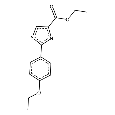 CCOC(=O)c1csc(-c2ccc(OCC)cc2)n1